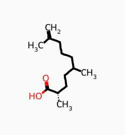 C=C(C)CCCC(C)CC[C@H](C)C(=O)O